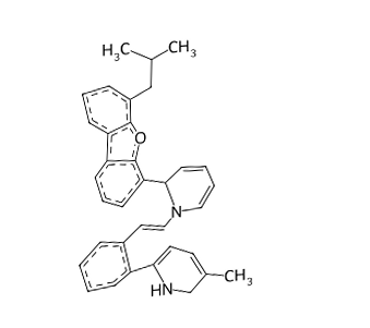 CC1=CC=C(c2ccccc2/C=C/N2C=CC=CC2c2cccc3c2oc2c(CC(C)C)cccc23)NC1